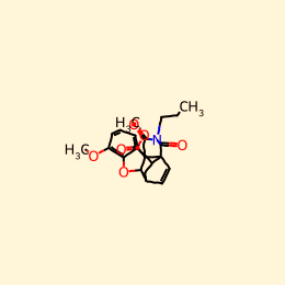 CCCN1C(=O)CC23c4cccc(OC)c4OC2C2C=CC3(C1=O)C(C(=O)OC)C2